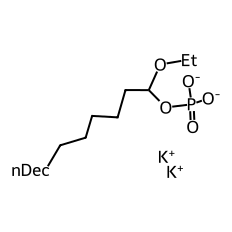 CCCCCCCCCCCCCCCC(OCC)OP(=O)([O-])[O-].[K+].[K+]